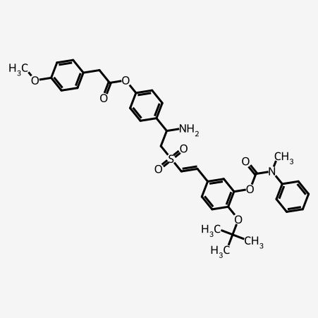 COc1ccc(CC(=O)Oc2ccc(C(N)CS(=O)(=O)C=Cc3ccc(OC(C)(C)C)c(OC(=O)N(C)c4ccccc4)c3)cc2)cc1